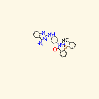 CN(C)c1nc(N[C@H]2CC[C@@H](NC(=O)c3ccccc3Sc3ccccc3C#N)CC2)nc2ccccc12